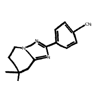 CC1(C)CCn2nc(-c3ccc(C#N)cc3)nc2C1